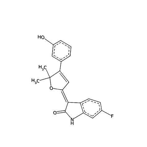 CC1(C)OC(=C2C(=O)Nc3cc(F)ccc32)C=C1c1cccc(O)c1